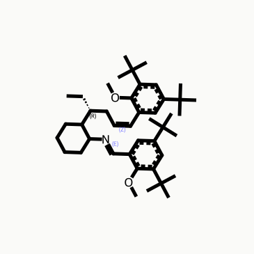 CC[C@H](C/C=C\c1cc(C(C)(C)C)cc(C(C)(C)C)c1OC)C1CCCCC1/N=C/c1cc(C(C)(C)C)cc(C(C)(C)C)c1OC